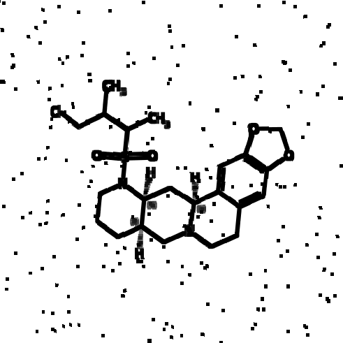 CC(CCl)C(C)S(=O)(=O)N1CCC[C@@H]2CN3CCc4cc5c(cc4[C@@H]3C[C@@H]21)OCO5